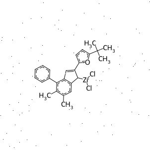 Cc1cc2c(c(-c3ccccc3)c1C)C=C(c1ccc(C(C)(C)C)o1)[CH]2[Zr]([Cl])[Cl]